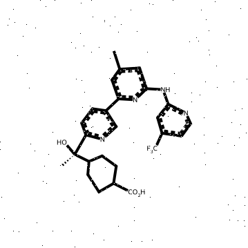 Cc1cc(Nc2cc(C(F)(F)F)ccn2)nc(-c2ccc([C@](C)(O)C3CCC(C(=O)O)CC3)nc2)c1